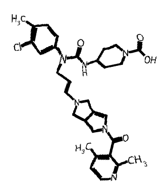 Cc1ccc(N(CCCN2CC3=CN(C(=O)c4c(C)ccnc4C)CC3C2)C(=O)NC2CCN(C(=O)O)CC2)cc1Cl